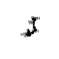 COc1cccc(Nc2c(C(N)=O)cnc3c(C)cc(Cc4cccc(C(=O)Nc5cccc(-c6ccc(CCCCNC[C@H](O)c7ccc(O)c8[nH]c(=O)ccc78)cc6)c5)c4)cc23)c1